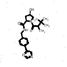 CC(C(=O)N1C[C@H](O)CC1C(=O)NCc1ccc(-c2cnco2)cc1)C(C)(C)C